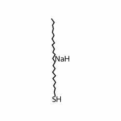 CCCCCCCCCCCCCCCCCCCCCCCCS.[NaH]